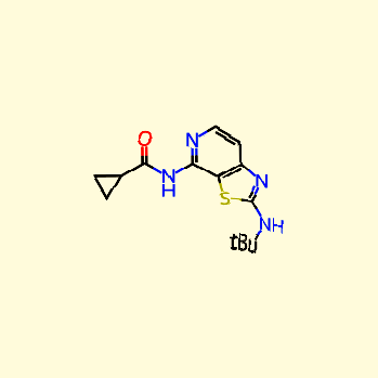 CC(C)(C)Nc1nc2ccnc(NC(=O)C3CC3)c2s1